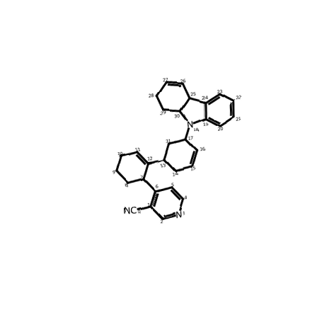 N#Cc1cnccc1C1CCCC=C1[C@@H]1CC=CC(N2c3ccccc3C3C=CCCC32)C1